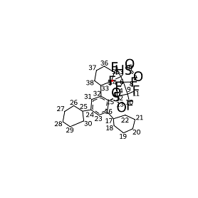 O=[SH](=O)C(F)(F)C(F)(F)C(F)(F)S(=O)(=O)c1c(C2CCCCC2)cc(C2CCCCC2)cc1C1CCCCC1